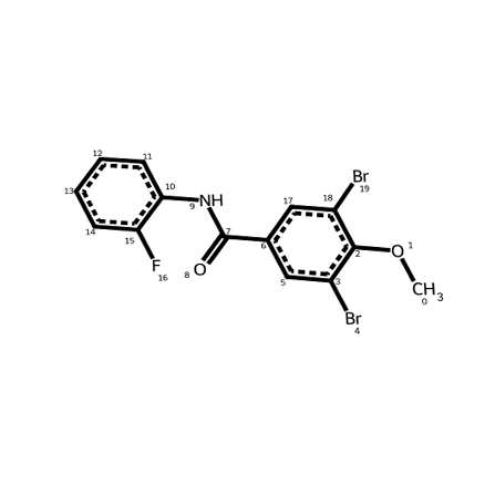 COc1c(Br)cc(C(=O)Nc2ccccc2F)cc1Br